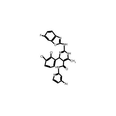 CC(=O)c1ccnc(NC(=O)C2=C(C)NC(Nc3nc4ccc(F)cc4o3)=NC2c2cccc(Cl)c2Cl)c1